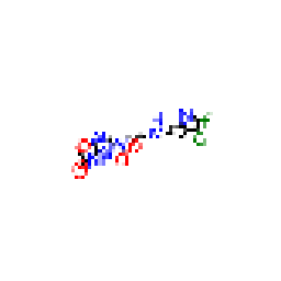 O=C1COc2ncc(N3CC(CCNCC4Cc5ncc(F)c(Cl)c5C4)OC3=O)nc2N1